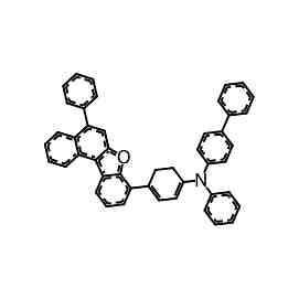 C1=C(c2cccc3c2oc2cc(-c4ccccc4)c4ccccc4c23)CCC(N(c2ccccc2)c2ccc(-c3ccccc3)cc2)=C1